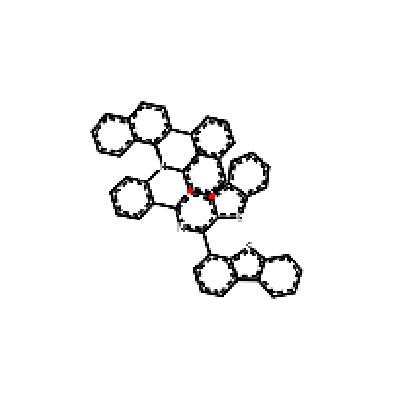 c1ccc(N2c3c(ccc4ccccc34)-c3cccc4cccc2c34)c(-c2nc(-c3cccc4c3sc3ccccc34)c3sc4ccccc4c3n2)c1